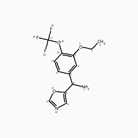 CCOc1cc(C(N)c2cnco2)ccc1OC(F)(F)F